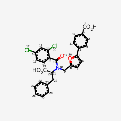 O=C(O)c1ccc(-c2ccc(CN(C(=O)c3ccc(Cl)cc3Cl)[C@@H](Cc3ccccc3)C(=O)O)o2)cc1